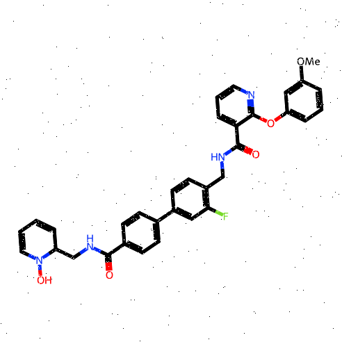 COc1cccc(Oc2ncccc2C(=O)NCc2ccc(-c3ccc(C(=O)NCC4C=CC=CN4O)cc3)cc2F)c1